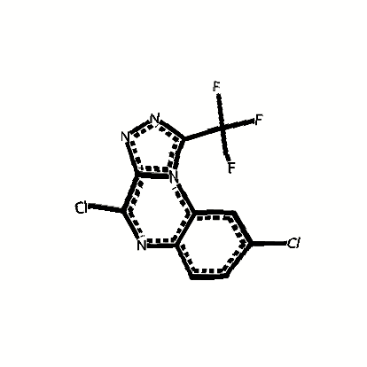 FC(F)(F)c1nnc2c(Cl)nc3ccc(Cl)cc3n12